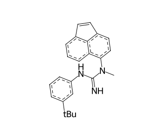 CN(C(=N)Nc1cccc(C(C)(C)C)c1)c1ccc2c3c(cccc13)C=C2